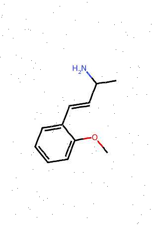 COc1ccccc1/C=C/C(C)N